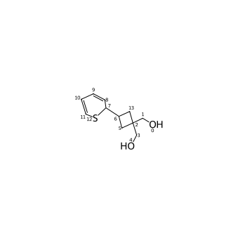 OCC1(CO)CC(C2C=CC=CS2)C1